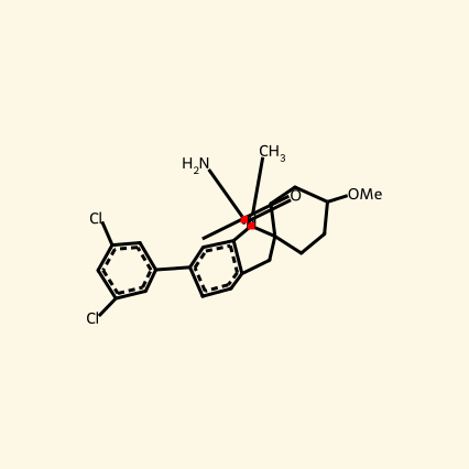 COC1CCC2(CC1)Cc1ccc(-c3cc(Cl)cc(Cl)c3)cc1C21N=C(N)N(C)C1=O